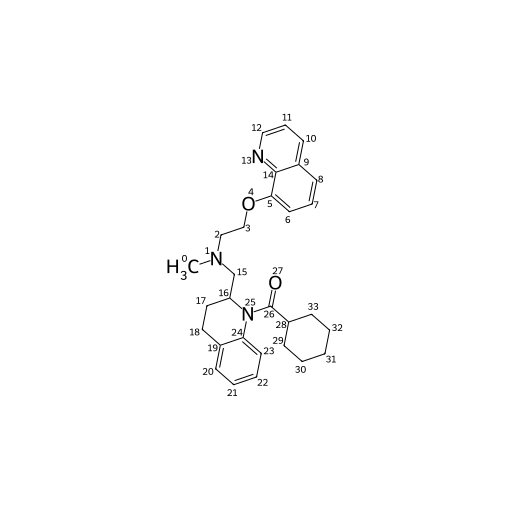 CN(CCOc1cccc2cccnc12)CC1CCc2ccccc2N1C(=O)C1CCCCC1